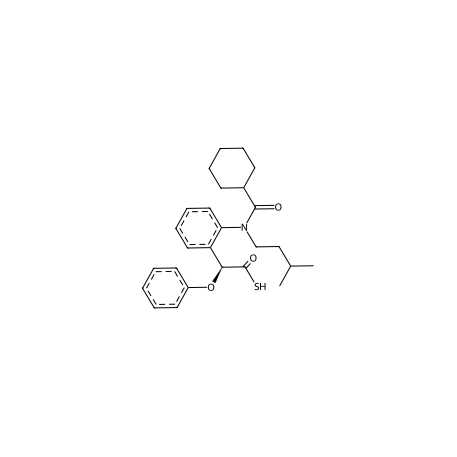 CC(C)CCN(C(=O)C1CCCCC1)c1ccccc1[C@H](Oc1ccccc1)C(=O)S